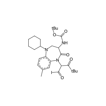 Cc1ccc2c(c1)N(C(C(=O)I)C(=O)C(C)(C)C)C(=O)C(NC(=O)OC(C)(C)C)CN2C1CCCCC1